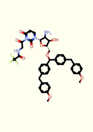 COc1ccc(Cc2ccc(C(OC[C@@H]3O[C@H](n4ccc(=O)n(C(=O)CNC(=O)C(F)(F)F)c4=O)C(N)C3O)c3ccc(Cc4ccc(OC)cc4)cc3)cc2)cc1